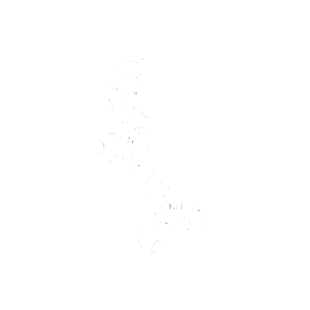 C1=CCC(C2=CC(c3ccccc3)NC(C3C=CC(C4=Cc5c(n(-c6cccc(-c7cccc8c7oc7ccccc78)c6)c6ccccc56)CC4)=CC3)=C2)C=C1